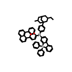 CCC1CC2CC(C)CC(c3ccc(N(c4ccc(-c5cccc6cccc(-c7ccccc7)c56)cc4)c4ccc5c(c4)S(c4ccccc4)(c4ccccc4)c4ccccc4-5)cc3)(C1)C2